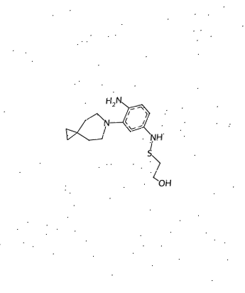 Nc1ccc(NSCCO)cc1N1CCC2(CC1)CC2